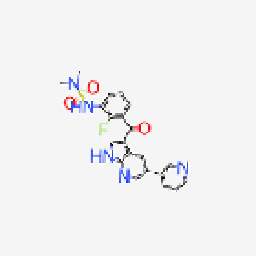 CN(C)S(=O)(=O)Nc1cccc(C(=O)c2c[nH]c3ncc(-c4cccnc4)cc23)c1F